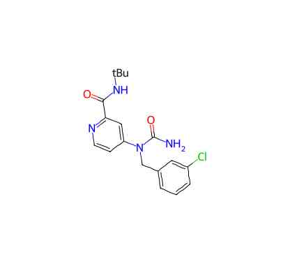 CC(C)(C)NC(=O)c1cc(N(Cc2cccc(Cl)c2)C(N)=O)ccn1